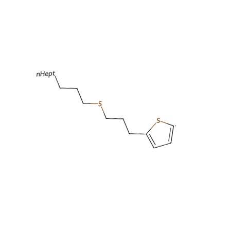 CCCCCCCCCCSCCCc1cc[c]s1